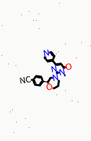 Cn1c(N2CCCO[C@@H](c3ccc(C#N)cc3)C2)nc(-c2ccncc2)cc1=O